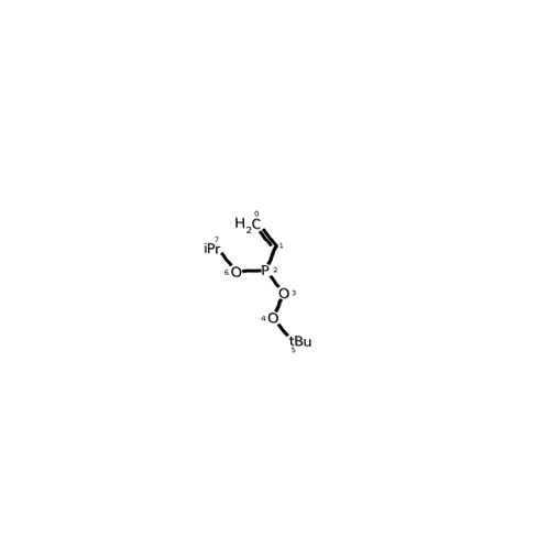 C=CP(OOC(C)(C)C)OC(C)C